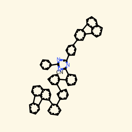 N#Cc1cccc(-c2cccc(-c3ccccc3-c3ccc4cccc5c4c3-c3ccccc3-5)c2)c1-c1ccccc1-c1nc(-c2ccccc2)nc(-c2ccc(-c3ccc4c(c3)-c3cccc5cccc-4c35)cc2)n1